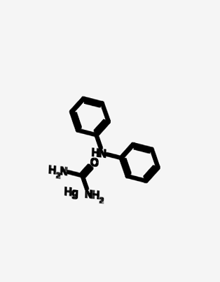 NC(N)=O.[Hg].c1ccc(Nc2ccccc2)cc1